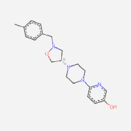 Cc1ccc(CN2C[C@H](N3CCN(c4ccc(O)cn4)CC3)CO2)cc1